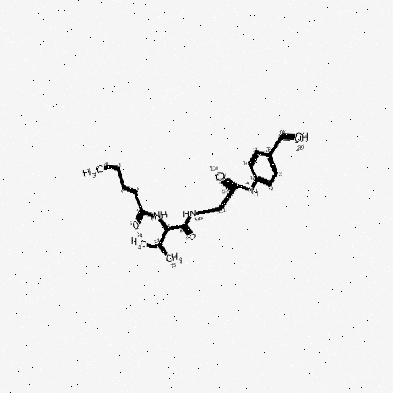 CCCCC(=O)NC(C(=O)NCC(=O)Nc1ccc(CO)cc1)C(C)C